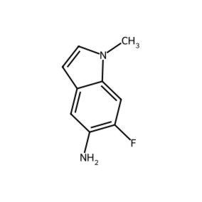 Cn1ccc2cc(N)c(F)cc21